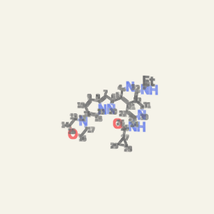 CCNc1ncc(-c2cc3ccc(N4CCOCC4)cn3n2)c2cc(NC(=O)C3CC3)ncc12